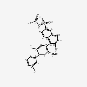 COc1cc(-c2cccc(F)c2)c(Cl)cc1-c1c(Br)nnc2cc(S(=O)(=O)OP(F)#P)ccc12